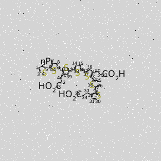 CCCc1ccsc1-c1ccc(-c2sc(-c3ccc(-c4cc(CCC(=O)O)c(-c5ccc(-c6sccc6CCC(=O)O)s5)s4)s3)cc2CCC(=O)O)s1